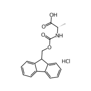 C[C@H](NC(=O)OCC1c2ccccc2-c2ccccc21)C(=O)O.Cl